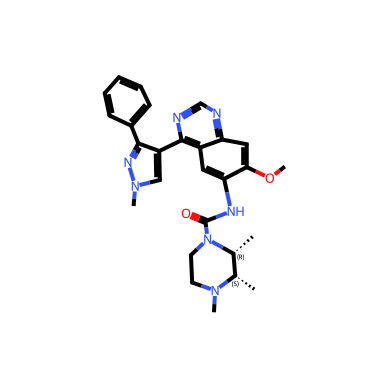 COc1cc2ncnc(-c3cn(C)nc3-c3ccccc3)c2cc1NC(=O)N1CCN(C)[C@@H](C)[C@H]1C